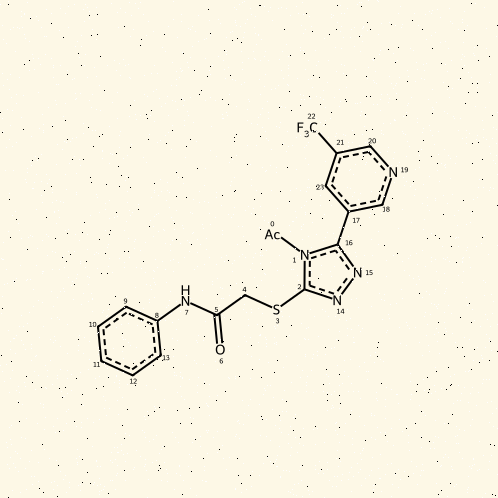 CC(=O)n1c(SCC(=O)Nc2ccccc2)nnc1-c1cncc(C(F)(F)F)c1